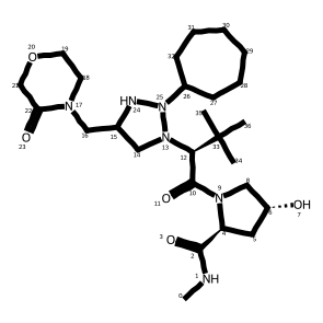 CNC(=O)[C@@H]1C[C@@H](O)CN1C(=O)[C@@H](N1CC(CN2CCOCC2=O)NN1C1CCCCCC1)C(C)(C)C